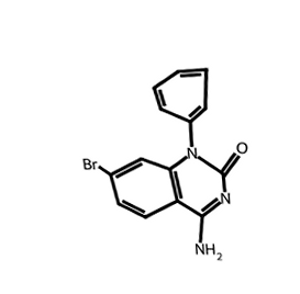 Nc1nc(=O)n(-c2ccccc2)c2cc(Br)ccc12